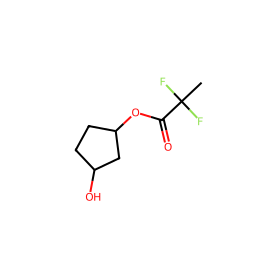 CC(F)(F)C(=O)OC1CCC(O)C1